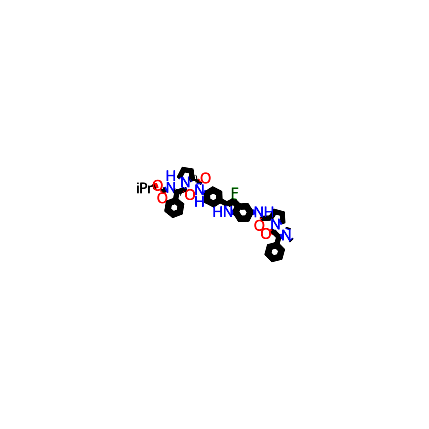 CC(C)OC(=O)N[C@@H](C(=O)N1CCC[C@H]1C(=O)Nc1ccc(-c2[nH]c3ccc(NC(=O)C4CCCN4C(=O)C(c4ccccc4)N(C)C)cc3c2F)cc1)c1ccccc1